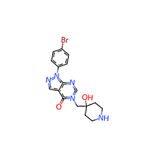 O=c1c2cnn(-c3ccc(Br)cc3)c2ncn1CC1(O)CCNCC1